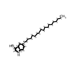 CCCCCCCCCCCCCCCCCCSc1ccc2[nH]cc(O)c2c1